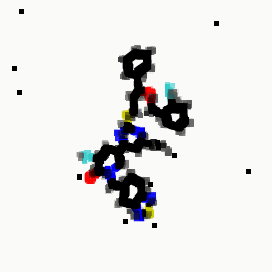 Cc1cc(-c2cc(F)c(=O)n(Cc3ccc4nsnc4c3)c2)nc(SCCC(OCc2ccccc2F)c2ccccc2)n1